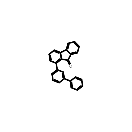 O=C1c2ccccc2-c2cccc(-c3cccc(-c4ccccc4)c3)c21